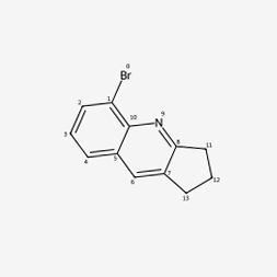 Brc1cccc2cc3c(nc12)CCC3